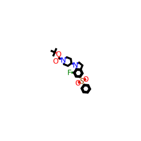 CC(C)(C)OC(=O)N1CCC(N2CCc3cc(S(=O)(=O)c4ccccc4)cc(F)c32)CC1